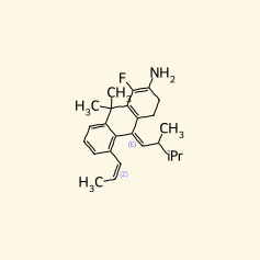 C/C=C\c1cccc2c1/C(=C/C(C)C(C)C)C1=C(C(F)=C(N)CC1)C2(C)C